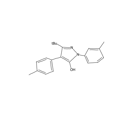 Cc1ccc(-c2c(C(C)(C)C)nn(-c3cccc(C)c3)c2O)cc1